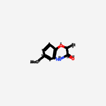 CCC1Oc2ccc(OC)cc2NC1=O